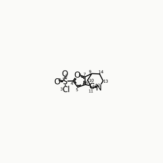 O=S(=O)(Cl)c1cc2c(o1)C1CCN(CC1)C2